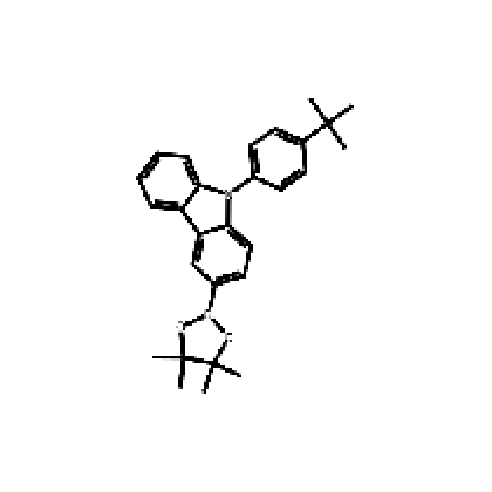 CC(C)(C)c1ccc(-n2c3ccccc3c3cc(B4OC(C)(C)C(C)(C)O4)ccc32)cc1